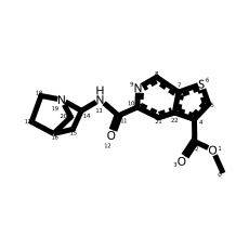 COC(=O)c1csc2cnc(C(=O)NC3CC4CCN3C4)cc12